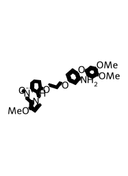 COc1ccc(Oc2ccc(OCCCOC3CCC=C4[C@@H]3Cn3ccc(OC)c3C=[N+]4[O-])cc2N)cc1OC